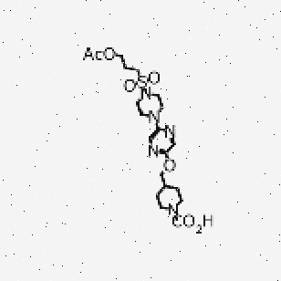 CC(=O)OCCCS(=O)(=O)N1CCN(c2cnc(OCC3CCN(C(=O)O)CC3)cn2)CC1